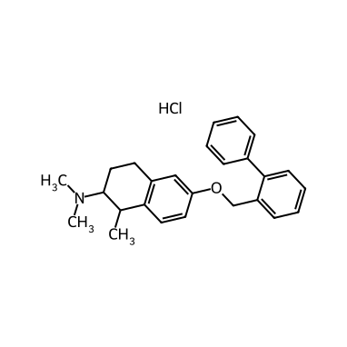 CC1c2ccc(OCc3ccccc3-c3ccccc3)cc2CCC1N(C)C.Cl